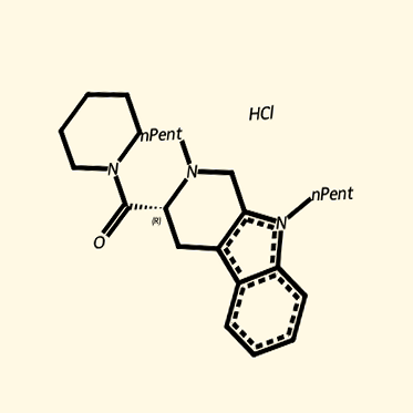 CCCCCN1Cc2c(c3ccccc3n2CCCCC)C[C@@H]1C(=O)N1CCCCC1.Cl